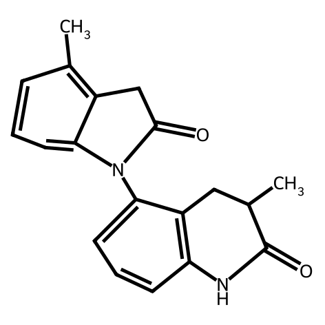 Cc1cccc2c1CC(=O)N2c1cccc2c1CC(C)C(=O)N2